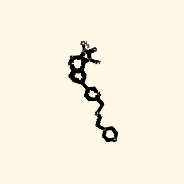 CC(C)n1c(=O)n(C)c2nnc3ccc(-c4ccc(COCCN5CCOCC5)nc4)cc3c21